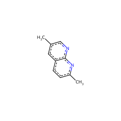 Cc1cnc2nc(C)ccc2c1